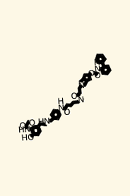 CN(CCCCC(=O)Nc1ccc(CNCCc2ccc(O)c3c2OCC(=O)N3)cc1)C(=O)CCN1CC2CC(OC(=O)Nc3ccccc3-c3ccccc3)CC2C1